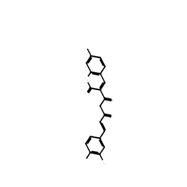 O=C(C=Cc1ccc(Cl)c([N+](=O)[O-])c1)CC(=O)c1cc2ccc(Cl)cc2[nH]c1=O